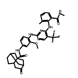 CNC(=O)c1cccc(C)c1Nc1nc(Nc2ccc(NC(=O)C34CC5CCC3CC(=O)C(C5)C4)cc2OC)ncc1C(F)(F)F